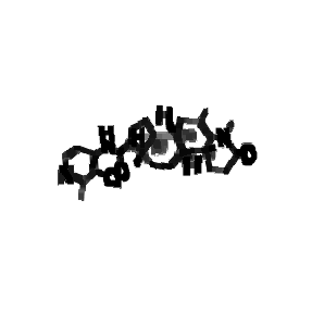 CC1=C2N(C)C(=O)CC[C@]2(C)[C@H]2CC[C@]3(C)[C@@H](C(=O)Nc4ccnc(C)c4Cl)CC[C@H]3[C@@H]2C1